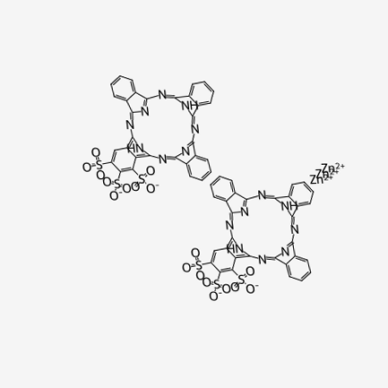 O=S(=O)([O-])c1cc2c3nc4nc(nc5[nH]c(nc6nc(nc([nH]3)c2c(S(=O)(=O)[O-])c1S(=O)(=O)[O-])-c1ccccc1-6)c1ccccc51)-c1ccccc1-4.O=S(=O)([O-])c1cc2c3nc4nc(nc5[nH]c(nc6nc(nc([nH]3)c2c(S(=O)(=O)[O-])c1S(=O)(=O)[O-])-c1ccccc1-6)c1ccccc51)-c1ccccc1-4.[Zn+2].[Zn+2].[Zn+2]